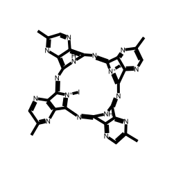 Cc1cnc2c(n1)-c1nc3[nH]c(nc4[n+](I)c(nc5[nH]c(nc-2[n+]1I)c1nc(C)cnc51)-c1nc(C)cnc1-4)c1nc(C)cnc31